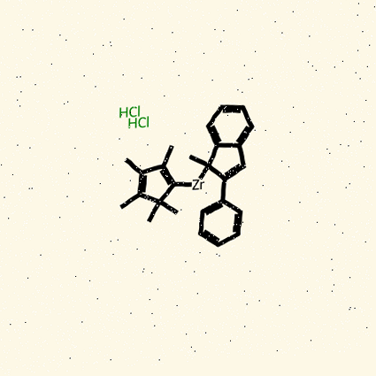 CC1=C(C)C(C)(C)[C]([Zr][C]2(C)C(c3ccccc3)=Cc3ccccc32)=C1C.Cl.Cl